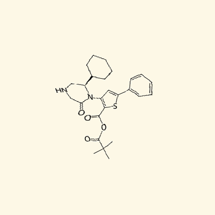 CC(C)(C)C(=O)OC(=O)c1sc(-c2ccccc2)cc1N1C(=O)CNC[C@H]1C1CCCCC1